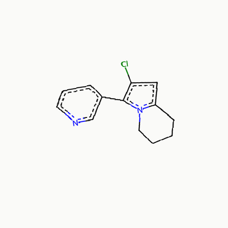 Clc1cc2n(c1-c1cccnc1)CCCC2